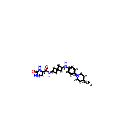 O=C1NCC(C(=O)NC2CC3(C2)CC(Nc2ccc(N4CCC(C(F)(F)F)CC4)cc2)C3)N1